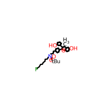 CC1=C(c2cccc(O)c2)C(c2ccc(/C=C/CN(CCCCCCCCCF)C(=O)OC(C)(C)C)cc2)Oc2ccc(O)cc21